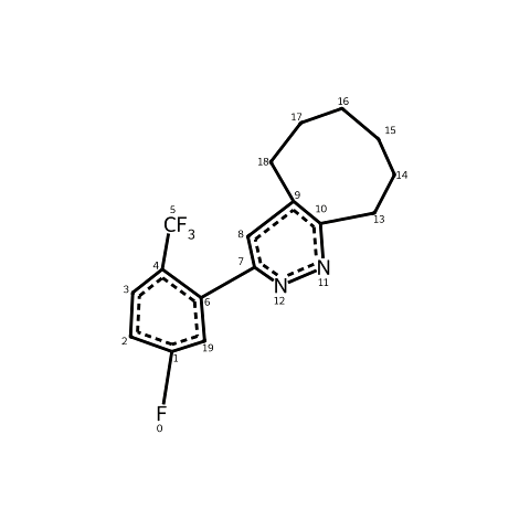 Fc1ccc(C(F)(F)F)c(-c2cc3c(nn2)CCCCCC3)c1